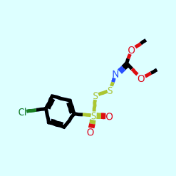 COC(=NSSS(=O)(=O)c1ccc(Cl)cc1)OC